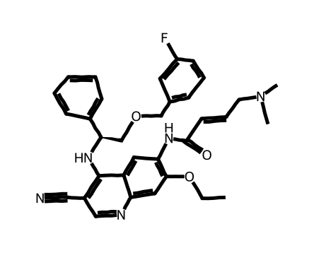 CCOc1cc2ncc(C#N)c(N[C@H](COCc3cccc(F)c3)c3ccccc3)c2cc1NC(=O)/C=C/CN(C)C